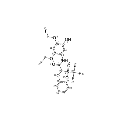 O=C(Nc1cc(O)c(OCF)cc1OCF)C(Oc1ccccc1)S(=O)(=O)C(F)(F)F